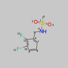 CS(=O)(=O)NCc1cccc(F)c1F